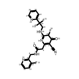 N#CC1=C(CC(=O)NCc2ncccc2F)N=C(NCC(F)(F)c2ccccn2)C(F)C1=O